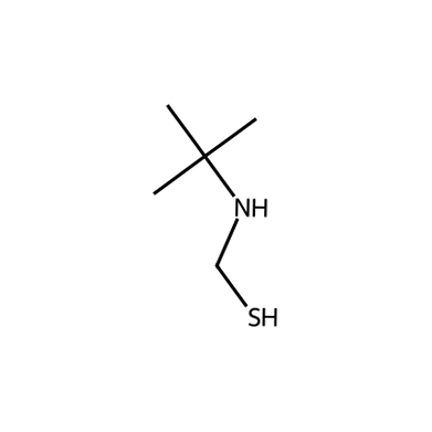 CC(C)(C)NCS